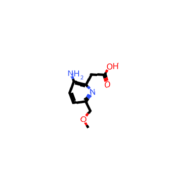 COCc1ccc(N)c(CC(=O)O)n1